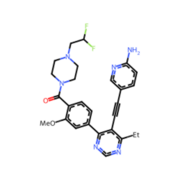 CCc1ncnc(-c2ccc(C(=O)N3CCN(CC(F)F)CC3)c(OC)c2)c1C#Cc1ccc(N)nc1